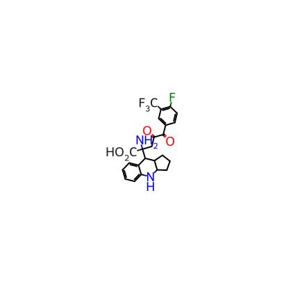 NC(CC(=O)C(=O)c1ccc(F)c(C(F)(F)F)c1)(C(=O)O)C1c2ccccc2NC2CCCC21